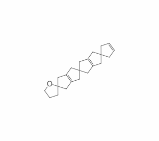 C1=CCC2(C1)CC1=C(C2)CC2(C1)CC1=C(C2)CC2(CCCO2)C1